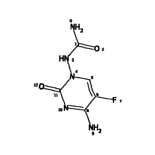 NC(=O)Nn1cc(F)c(N)nc1=O